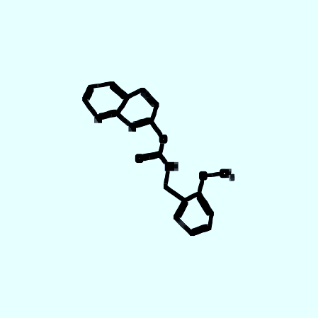 O=C(NCc1ccccc1OC(F)(F)F)Oc1ccc2cccnc2n1